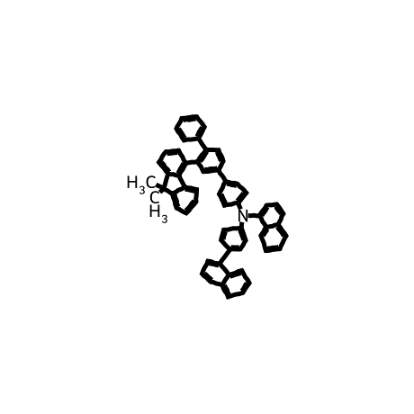 CC1(C)c2ccccc2-c2c(-c3cc(-c4ccc(N(c5ccc(-c6cccc7ccccc67)cc5)c5cccc6ccccc56)cc4)ccc3-c3ccccc3)cccc21